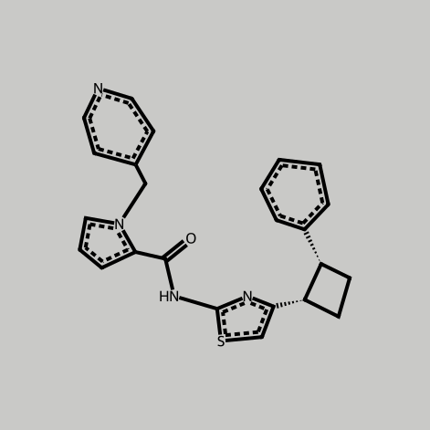 O=C(Nc1nc([C@H]2CC[C@H]2c2ccccc2)cs1)c1cccn1Cc1ccncc1